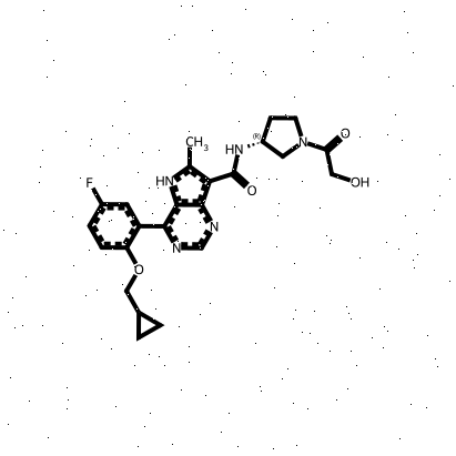 Cc1[nH]c2c(-c3cc(F)ccc3OCC3CC3)ncnc2c1C(=O)N[C@@H]1CCN(C(=O)CO)C1